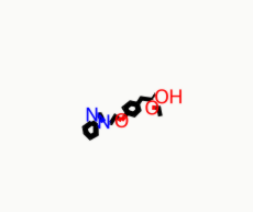 CCO[C@H](CO)Cc1ccc(OCCn2cnc3ccccc32)cc1